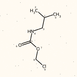 CC(C)CNC(=O)OCCl